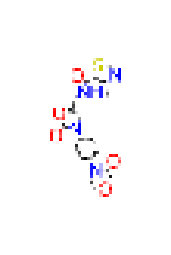 Cc1ncsc1C(=O)NC[C@H]1CN(c2ccc(N3CCOCC3=O)cc2)C(=O)O1